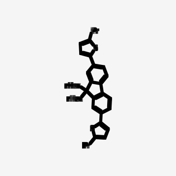 CCCCCCC1(CCCCCC)c2cc(-c3ccc(C(C)C)s3)ccc2-c2ccc(-c3ccc(C(C)C)s3)cc21